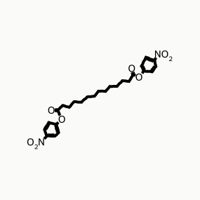 O=C(CCCCCCCCCCCCC(=O)Oc1ccc([N+](=O)[O-])cc1)Oc1ccc([N+](=O)[O-])cc1